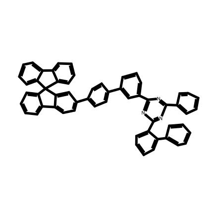 c1ccc(-c2nc(-c3cccc(-c4ccc(-c5ccc6c(c5)C5(c7ccccc7-c7ccccc75)c5ccccc5-6)cc4)c3)nc(-c3ccccc3-c3ccccc3)n2)cc1